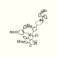 CCc1c(O)c(C(=O)OC)c(=O)n(Cc2ccc(OC)cc2OC)c1-c1ccc(C2CCN(C(=O)OC(C)(C)C)CC2)cc1